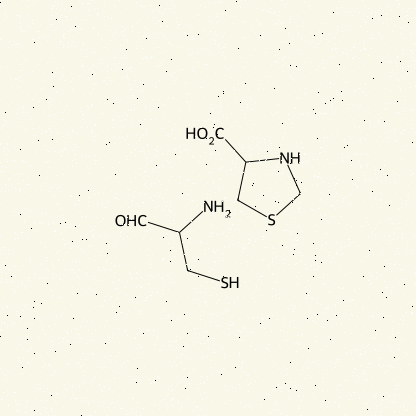 NC(C=O)CS.O=C(O)C1CSCN1